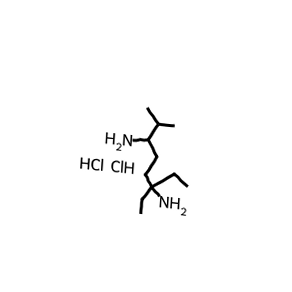 CCC(N)(CC)CCC(N)C(C)C.Cl.Cl